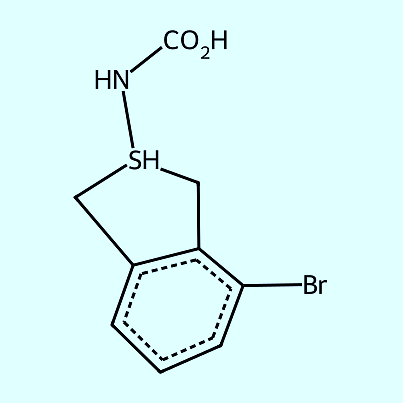 O=C(O)N[SH]1Cc2cccc(Br)c2C1